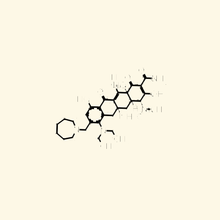 CCN(CC)c1c(CN2CCCCCC2)cc(O)c2c1C[C@H]1C[C@H]3[C@H](N(C)C)C(O)=C(C(N)=O)C(=O)[C@@]3(O)C(O)=C1C2=O